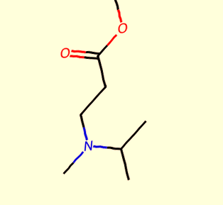 COC(=O)CCN(C)C(C)C